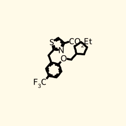 CCOC(=O)c1csc(Cc2cc(C(F)(F)F)ccc2OCC2CCCC2)n1